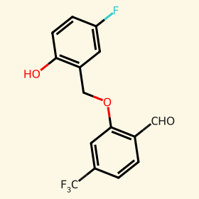 O=Cc1ccc(C(F)(F)F)cc1OCc1cc(F)ccc1O